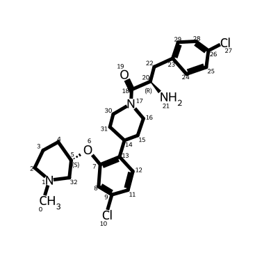 CN1CCC[C@H](Oc2cc(Cl)ccc2C2CCN(C(=O)[C@H](N)Cc3ccc(Cl)cc3)CC2)C1